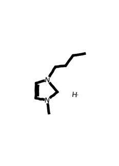 CCCCN1C=CN(C)C1.[H]